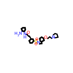 Nc1ccccc1NC(=O)/C=C/c1cccc(S(=O)(=O)n2ccc3cc(OCCCN4CCCCC4)ccc32)c1